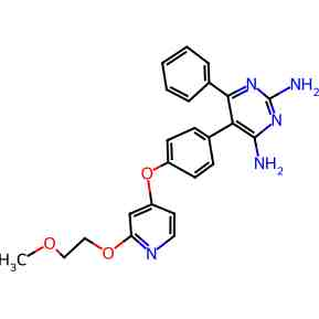 COCCOc1cc(Oc2ccc(-c3c(N)nc(N)nc3-c3ccccc3)cc2)ccn1